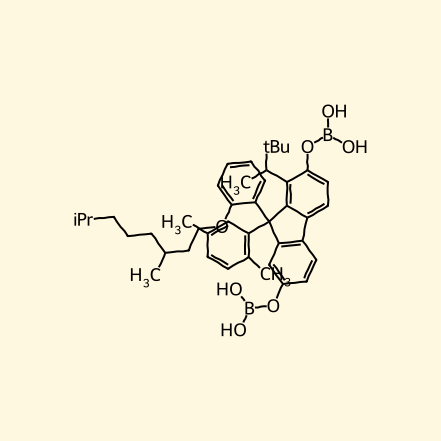 Cc1ccc(C)c(C2(c3ccccc3OCCC(C)CCCC(C)C)c3cc(OB(O)O)ccc3-c3ccc(OB(O)O)c(C(C)C(C)(C)C)c32)c1